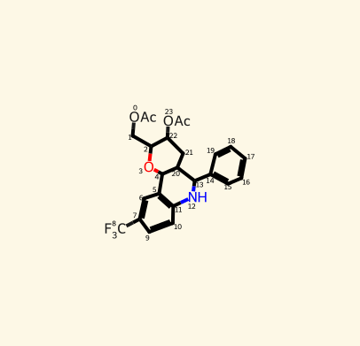 CC(=O)OCC1OC2c3cc(C(F)(F)F)ccc3NC(c3ccccc3)C2CC1OC(C)=O